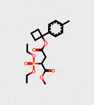 CCOP(=O)(OCC)C(CC(=O)OC1(c2ccc(C)cc2)CCC1)C(=O)OC